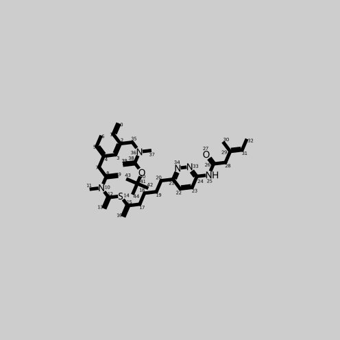 C=C/C(=C\C(=C/C)CC(=C)N(C)C(=C)SC(=C)CCCCc1ccc(NC(=O)C/C(C)=C/C)nn1)CN(C)C(=C)OC(C)(C)C